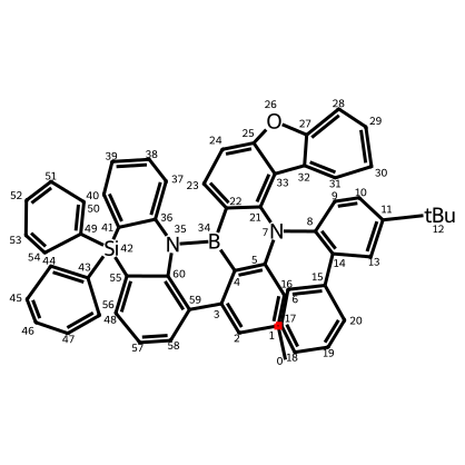 Cc1cc2c3c(c1)N(c1ccc(C(C)(C)C)cc1-c1ccccc1)c1c(ccc4oc5ccccc5c14)B3N1c3ccccc3[Si](c3ccccc3)(c3ccccc3)c3cccc-2c31